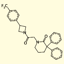 O=C(CN1CCCC(c2ccccc2)(c2ccccc2)C1=O)N1CC(c2ccc(C(F)(F)F)cc2)C1